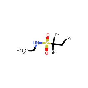 CC(C)CC(C(C)C)(C(C)C)S(=O)(=O)NCC(=O)O